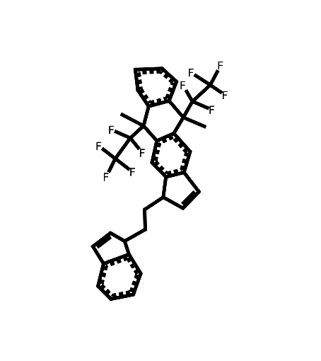 CC1(C(F)(F)C(F)(F)F)c2ccccc2C(C)(C(F)(F)C(F)(F)F)c2cc3c(cc21)C=CC3CCC1C=Cc2ccccc21